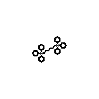 c1ccc([N+](CCCCCC[N+](c2ccccc2)(c2ccccc2)c2ccccc2)(c2ccccc2)c2ccccc2)cc1